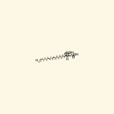 CCCCCC=CCC=CCCCCCCCC(=O)NC(CCC(=O)O)C(=O)O